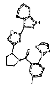 Cc1ccc(-n2nccn2)c(C(=O)N2CCC[C@H]2c2noc(-c3n[nH]c4ccccc34)n2)c1